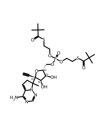 C#C[C@@]1(C2(C)CC=C3C(N)=NC=NN32)O[C@H](COP(=O)(OCCSC(=O)C(C)(C)C)OCCSC(=O)C(C)(C)C)[C@@H](O)[C@H]1O